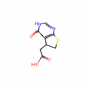 O=C(O)CC1CSc2nc[nH]c(=O)c21